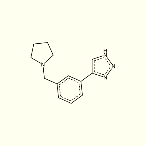 c1cc(CN2CCCC2)cc(-c2c[nH]nn2)c1